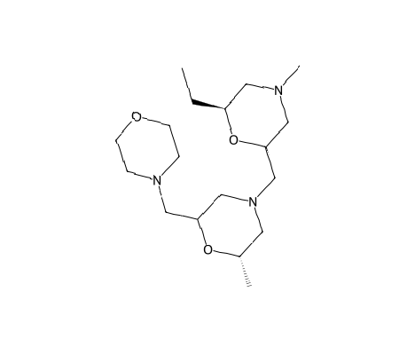 CC[C@H]1CN(C)CC(CN2CC(CN3CCOCC3)O[C@@H](C)C2)O1